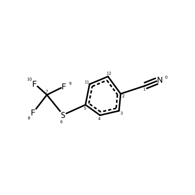 N#Cc1ccc(SC(F)(F)F)cc1